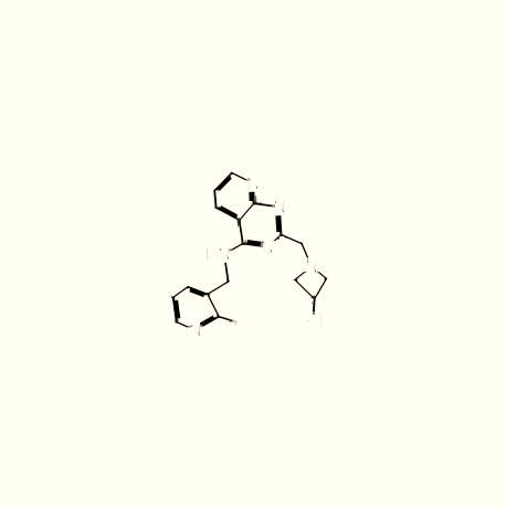 FC(F)(F)c1ncccc1CNc1nc(CN2CC(C(F)(F)F)C2)nc2ncccc12